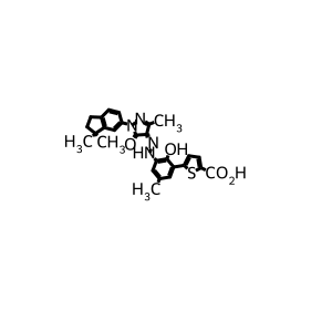 CC1=NN(c2ccc3c(c2)C(C)(C)CC3)C(=O)/C1=N\Nc1cc(C)cc(-c2ccc(C(=O)O)s2)c1O